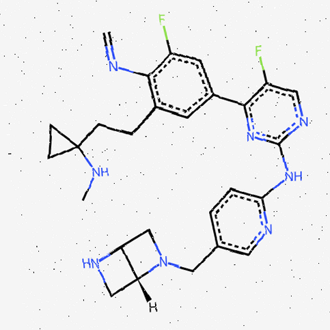 C=Nc1c(F)cc(-c2nc(Nc3ccc(CN4CC5NC[C@H]54)cn3)ncc2F)cc1CCC1(NC)CC1